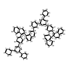 c1ccc(-c2nc(-c3ccccc3)nc(-c3ccc(-c4c(-c5cccc6ccc(-c7cccc(-c8nc(-c9ccccc9)nc(-c9ccc(-c%10c(-c%11cccc%12ncccc%11%12)ccc%11ccccc%10%11)cc9)n8)c7)nc56)ccc5ccccc45)cc3)n2)cc1